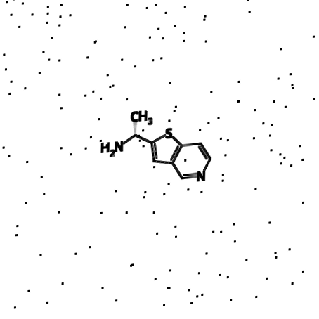 C[C@@H](N)c1cc2cnccc2s1